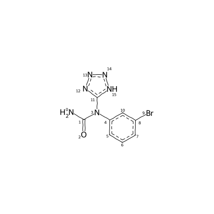 NC(=O)N(c1cccc(Br)c1)c1nnn[nH]1